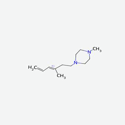 C=C/C=C(\C)CCN1CCN(C)CC1